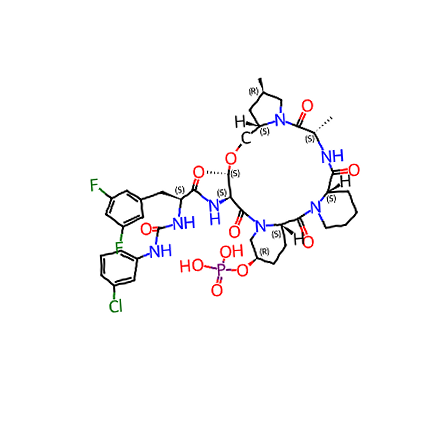 C[C@@H]1C[C@H]2CO[C@@H](C)[C@H](NC(=O)[C@H](Cc3cc(F)cc(F)c3)NC(=O)Nc3cccc(Cl)c3)C(=O)N3C[C@H](OP(=O)(O)O)CC[C@H]3C(=O)N3CCCC[C@H]3C(=O)N[C@@H](C)C(=O)N2C1